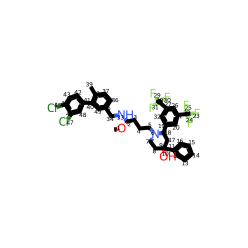 COC(CCCN1CCC(O)(c2ccccc2)CC1c1cc(C(F)(F)F)cc(C(F)(F)F)c1)NCc1ccc(C)c(-c2ccc(Cl)c(Cl)c2)c1